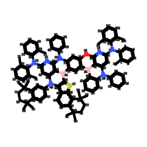 Cc1ccccc1N(c1cc2c3c(n1)Oc1cc4c(cc1B3c1ccccc1N2c1ccccc1)B1c2sc3c5c(ccc3c2N(c2ccc3c(c2)C(C)(C)CCC3(C)C)c2cc(N(c3ccccc3C)c3c(C)cccc3C)nc(c21)N4c1ccccc1)C(C)(C)CCC5(C)C)c1c(C)cccc1C